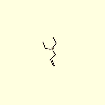 C=CC[N+](CC)CC